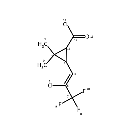 CC1(C)C(C=C(Cl)C(F)(F)F)C1C(=O)Cl